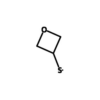 [S]C1COC1